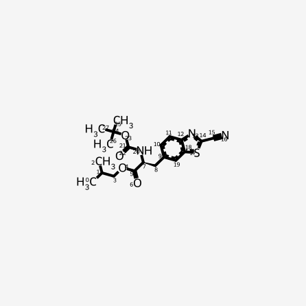 CC(C)COC(=O)[C@H](Cc1ccc2nc(C#N)sc2c1)NC(=O)OC(C)(C)C